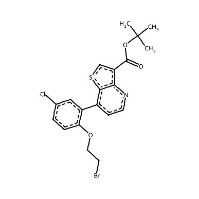 CC(C)(C)OC(=O)c1csc2c(-c3cc(Cl)ccc3OCCBr)ccnc12